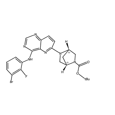 CC(C)(C)OC(=O)N1C[C@@H]2C[C@H]1CN2c1ccc2ncnc(Nc3cccc(Br)c3F)c2n1